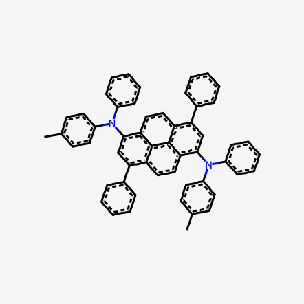 Cc1ccc(N(c2ccccc2)c2cc(-c3ccccc3)c3ccc4c(N(c5ccccc5)c5ccc(C)cc5)cc(-c5ccccc5)c5ccc2c3c54)cc1